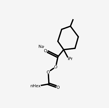 CCCCCCC(=O)OOC(=O)C1(C(C)C)CCC(C)CC1.[Na]